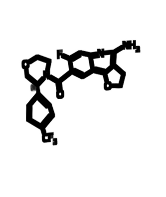 Nc1nc2cc(F)c(C(=O)N3CCOC[C@@H]3c3ccc(C(F)(F)F)cc3)cc2c2c1CCO2